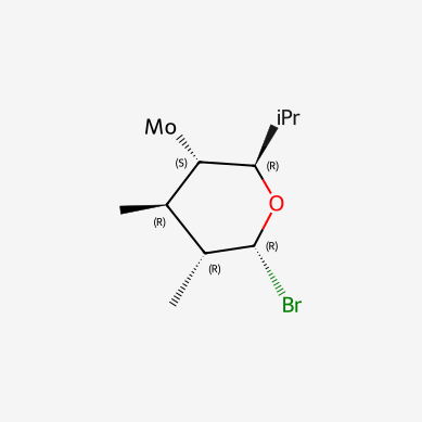 CC(C)[C@H]1O[C@H](Br)[C@H](C)[C@@H](C)[C@@H]1[Mo]